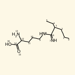 CCCC(CC)C(=N)NCCCC(N)C(=O)O